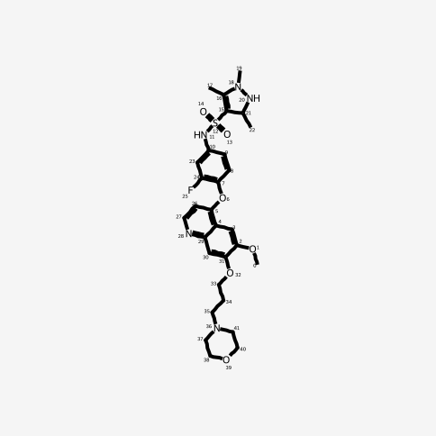 COc1cc2c(Oc3ccc(NS(=O)(=O)C4=C(C)N(C)NC4C)cc3F)ccnc2cc1OCCCN1CCOCC1